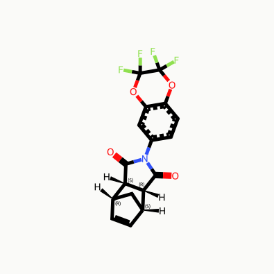 O=C1[C@@H]2[C@H](C(=O)N1c1ccc3c(c1)OC(F)(F)C(F)(F)O3)[C@@H]1C=C[C@H]2C1